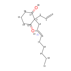 C=CCC1(C/C=C/CCCCC)C(=O)CCCC1=O